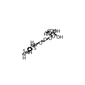 CNC(=S)Nc1ccc(NC(=S)NCCOCCOCCO[C@@H]2OC(CO)[C@H](O)[C@H](O)C2NC(C)=O)cc1